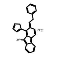 [Cl-].[Cl-].[Zr+2][C]1=c2ccccc2=c2ccc(=CCc3ccccc3)c(C3=CC=CC3)c21